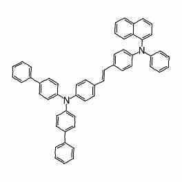 C(=C\c1ccc(N(c2ccccc2)c2cccc3ccccc23)cc1)/c1ccc(N(c2ccc(-c3ccccc3)cc2)c2ccc(-c3ccccc3)cc2)cc1